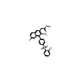 COC(=O)Cc1cc2ccc(F)cc2c(-c2ccc(S(=O)(=O)c3ccccc3Cl)cc2)c1C